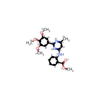 COC(=O)c1ccccc1Nc1cc(C)nc(-c2cc(OC)c(OC)c(OC)c2)n1